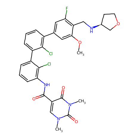 COc1cc(-c2cccc(-c3cccc(NC(=O)c4cn(C)c(=O)n(C)c4=O)c3Cl)c2Cl)cc(F)c1CN[C@H]1CCOC1